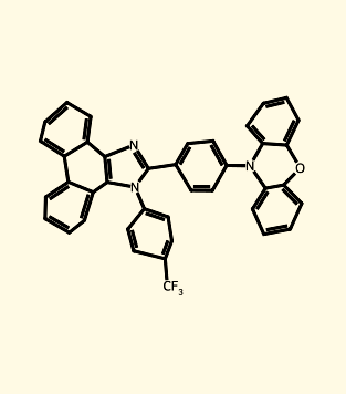 FC(F)(F)c1ccc(-n2c(-c3ccc(N4c5ccccc5Oc5ccccc54)cc3)nc3c4ccccc4c4ccccc4c32)cc1